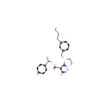 CC(NC(=O)c1c(C(F)(F)F)nn2c1N(Cc1cccc(CCCO)c1)CC2)c1ccc(C(=O)O)cc1